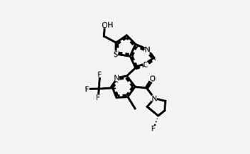 Cc1cc(C(F)(F)F)nc(-c2ccnc3cc(CO)sc23)c1C(=O)N1CC[C@H](F)C1